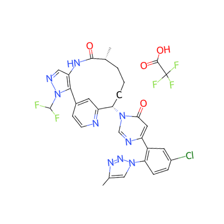 Cc1cn(-c2ccc(Cl)cc2-c2cc(=O)n([C@H]3CCC[C@@H](C)C(=O)Nc4cnn(C(F)F)c4-c4ccnc3c4)cn2)nn1.O=C(O)C(F)(F)F